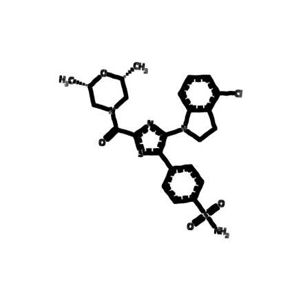 C[C@@H]1CN(C(=O)c2nc(N3CCc4c(Cl)cccc43)c(-c3ccc(S(N)(=O)=O)cc3)s2)C[C@H](C)O1